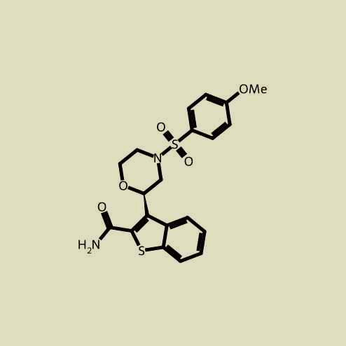 COc1ccc(S(=O)(=O)N2CCO[C@H](c3c(C(N)=O)sc4ccccc34)C2)cc1